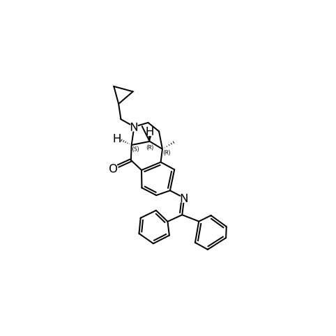 C[C@H]1[C@H]2C(=O)c3ccc(N=C(c4ccccc4)c4ccccc4)cc3[C@]1(C)CCN2CC1CC1